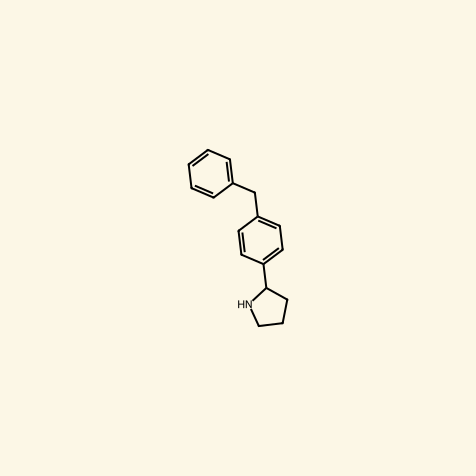 c1ccc(Cc2ccc(C3CCCN3)cc2)cc1